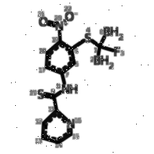 BC(B)(F)Sc1cc(NC(=S)c2ccccn2)ccc1[N+](=O)[O-]